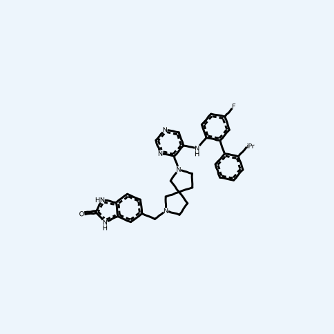 CC(C)c1ccccc1-c1cc(F)ccc1Nc1cncnc1N1CCC2(CCN(Cc3ccc4[nH]c(=O)[nH]c4c3)C2)C1